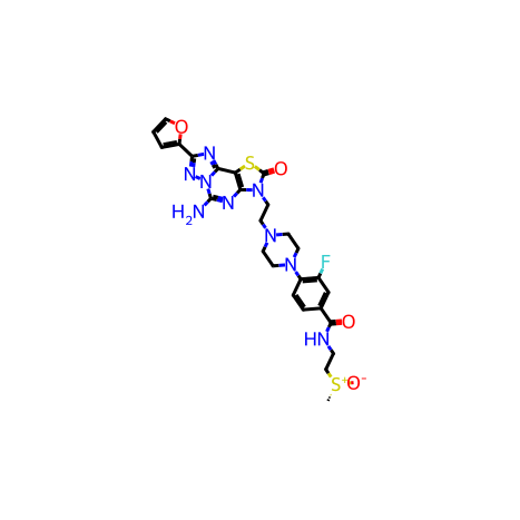 C[S@@+]([O-])CCNC(=O)c1ccc(N2CCN(CCn3c(=O)sc4c3nc(N)n3nc(-c5ccco5)nc43)CC2)c(F)c1